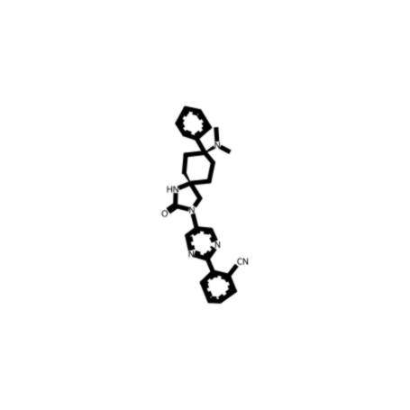 CN(C)[C@]1(c2ccccc2)CC[C@@]2(CC1)CN(c1cnc(-c3ccccc3C#N)nc1)C(=O)N2